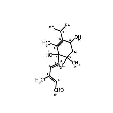 CC(C=CC1(O)C(C)=C(C(F)F)C(O)CC1(C)C)=CC=O